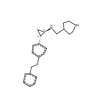 c1ccc(COc2ccc([C@@H]3C[C@H]3NCC3CCNCC3)cc2)cc1